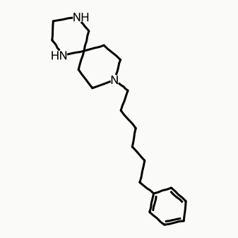 c1ccc(CCCCCCN2CCC3(CC2)CNCCN3)cc1